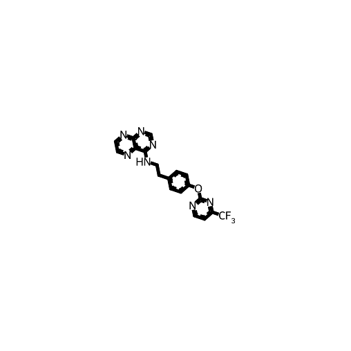 FC(F)(F)c1ccnc(Oc2ccc(CCNc3ncnc4nccnc34)cc2)n1